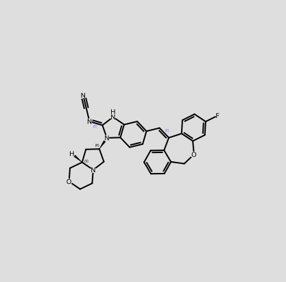 N#C/N=c1\[nH]c2cc(/C=C3\c4ccccc4COc4cc(F)ccc43)ccc2n1[C@@H]1C[C@H]2COCCN2C1